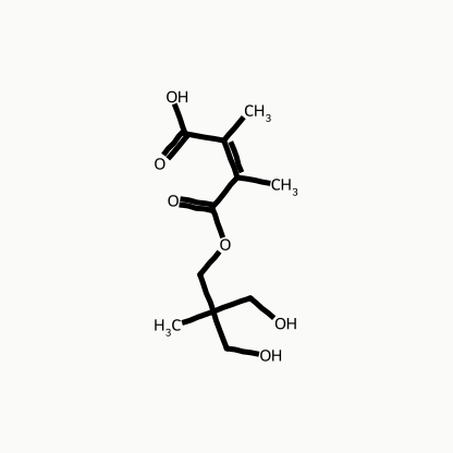 C/C(C(=O)O)=C(\C)C(=O)OCC(C)(CO)CO